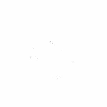 COC(=O)C(C(=O)OC)C1(N)N=CC=CN1Cl